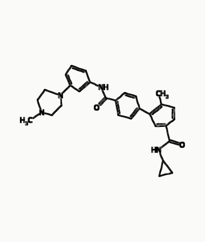 Cc1ccc(C(=O)NC2CC2)cc1-c1ccc(C(=O)Nc2cccc(N3CCN(C)CC3)c2)cc1